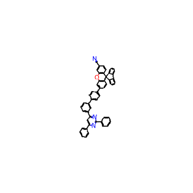 N#Cc1ccc2c(c1)Oc1cc(-c3ccc(-c4cccc(-c5cc(-c6ccccc6)nc(-c6ccccc6)n5)c4)cc3)ccc1C21c2ccccc2-c2ccccc21